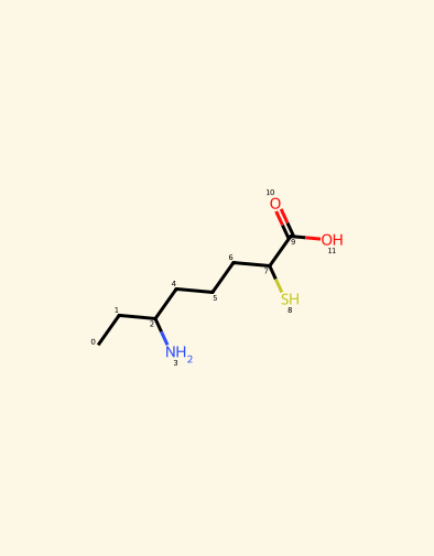 CCC(N)CCCC(S)C(=O)O